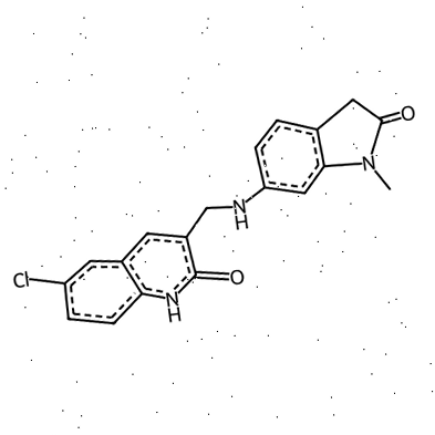 CN1C(=O)Cc2ccc(NCc3cc4cc(Cl)ccc4[nH]c3=O)cc21